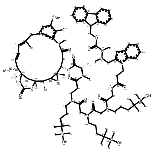 COc1cc2cc(c1Cl)N(C)C(=O)C[C@H](OC(=O)[C@H](C)N(C)C(=O)CCN(CCCC(C)(C)[Si](C)(C)O)C(=O)CN(CCCC(C)(C)[Si](C)(C)O)C(=O)CN(CCCC(C)(C)[Si](C)(C)O)C(=O)CNC(=O)CCn1c(CN(C)N(C)C(=O)OCC3c4ccccc4-c4ccccc43)cc3ccccc31)[C@]1(C)OC1[C@H](C)[C@@H]1C[C@@](O)(NC(=O)O1)[C@H](OC)/C=C/C=C(\C)C2